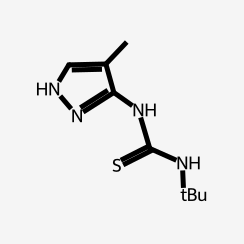 Cc1c[nH]nc1NC(=S)NC(C)(C)C